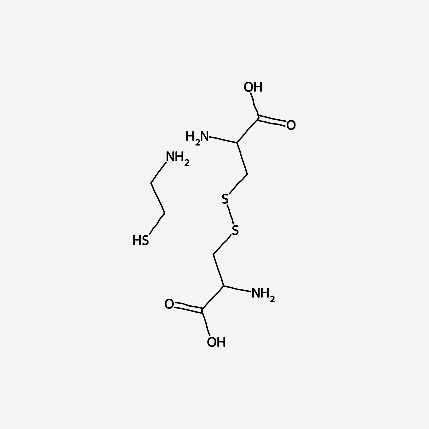 NC(CSSCC(N)C(=O)O)C(=O)O.NCCS